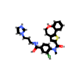 CN(C(=O)c1cc2c(s1)-c1ccccc1OCC2)c1ccc(C(=O)NCCCn2ccnc2)cc1Cl